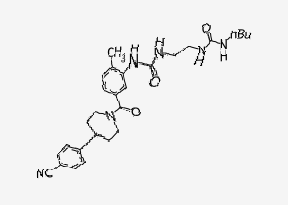 CCCCNC(=O)NCCNC(=O)Nc1cc(C(=O)N2CCC(c3ccc(C#N)cc3)CC2)ccc1C